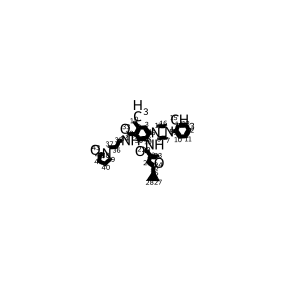 CCc1cc(N2CCN(c3ccccc3C)CC2)c(NC(=O)c2coc(C3CC3)c2)cc1C(=O)NCCCN1CCCC1=O